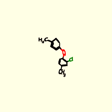 Cc1ccc(Oc2ccc(C)cc2Cl)cc1